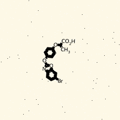 CC(Oc1ccc(Oc2nc3ccc(Br)cc3o2)cc1)C(=O)O